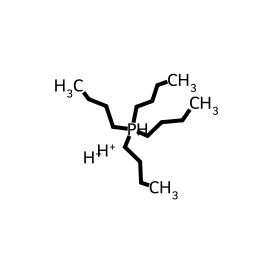 CCCC[PH](CCCC)(CCCC)CCCC.[H+].[H+]